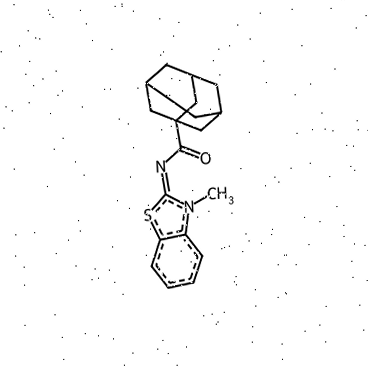 Cn1c(=NC(=O)C23CC4CC(CC(C4)C2)C3)sc2ccccc21